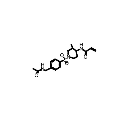 C=CC(=O)NC1CCN(S(=O)(=O)c2ccc(CNC(C)=O)cc2)CC1C